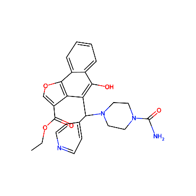 CCOC(=O)c1coc2c1c(C(c1ccncc1)N1CCN(C(N)=O)CC1)c(O)c1ccccc12